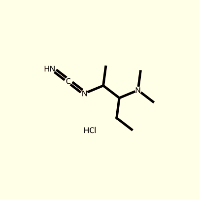 CCC(C(C)N=C=N)N(C)C.Cl